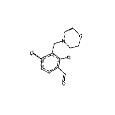 O=Cc1ccc(Cl)c(CN2CCOCC2)c1Cl